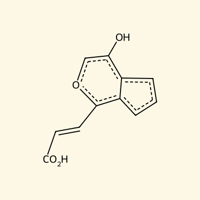 O=C(O)C=Cc1occ(O)c2cccc1-2